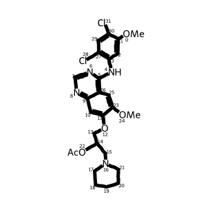 COc1cc(Nc2ncnc3cc(OCC(CN4CCCCC4)OC(C)=O)c(OC)cc23)c(Cl)cc1Cl